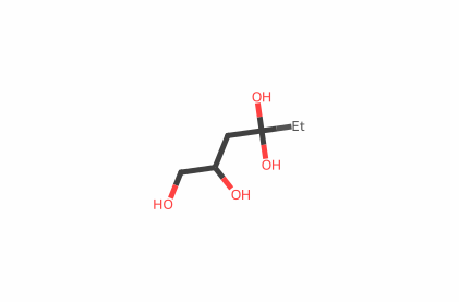 [CH2]CC(O)(O)CC(O)CO